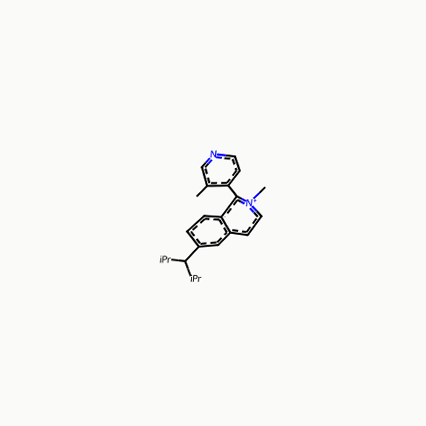 Cc1cnccc1-c1c2ccc(C(C(C)C)C(C)C)cc2cc[n+]1C